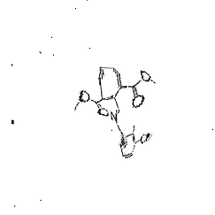 COC(=O)c1cccc(C(=O)OC)c1C=Nc1cccc(Cl)c1C